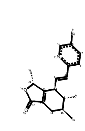 C[C@H]1[C@H](/C=C/c2ccc(Br)cn2)C2=C(C[C@@H]1C)C(=O)O[C@@H]2C